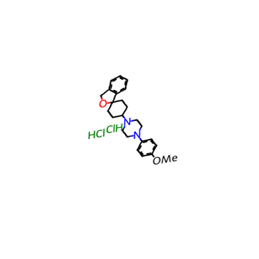 COc1ccc(N2CCN(C3CCC4(CC3)OCc3ccccc34)CC2)cc1.Cl.Cl